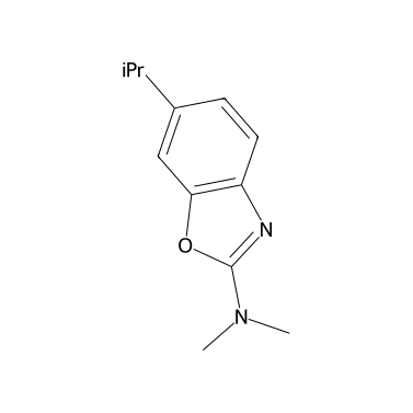 CC(C)c1ccc2nc(N(C)C)oc2c1